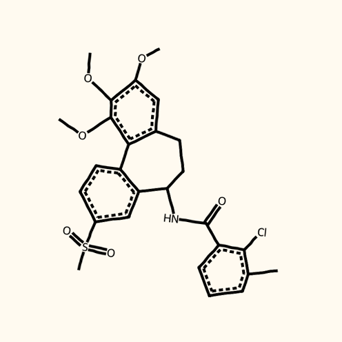 COc1cc2c(c(OC)c1OC)-c1ccc(S(C)(=O)=O)cc1C(NC(=O)c1cccc(C)c1Cl)CC2